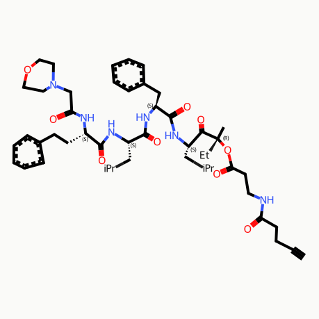 C#CCCC(=O)NCCC(=O)O[C@](C)(CC)C(=O)[C@H](CC(C)C)NC(=O)[C@H](Cc1ccccc1)NC(=O)[C@H](CC(C)C)NC(=O)[C@H](CCc1ccccc1)NC(=O)CN1CCOCC1